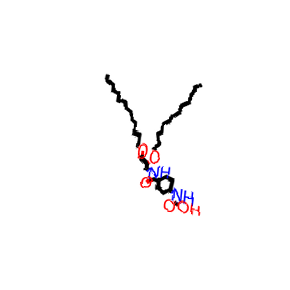 CCCCCCCCCCCCCCOCC(CNC(=O)C1CCC(NC(=O)O)CC1)OCCCCCCCCCCCCCC